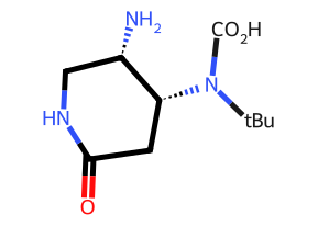 CC(C)(C)N(C(=O)O)[C@@H]1CC(=O)NC[C@@H]1N